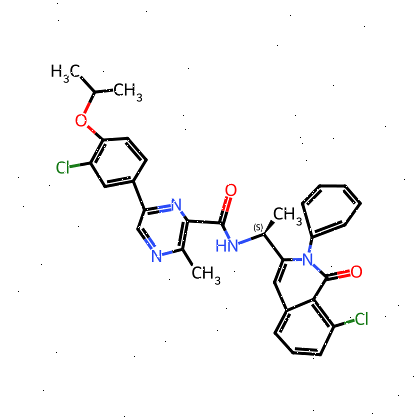 Cc1ncc(-c2ccc(OC(C)C)c(Cl)c2)nc1C(=O)N[C@@H](C)c1cc2cccc(Cl)c2c(=O)n1-c1ccccc1